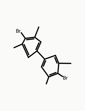 Cc1cc(-c2cc(C)c(Br)c(C)c2)cc(C)c1Br